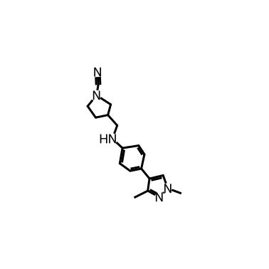 Cc1nn(C)cc1-c1ccc(NCC2CCN(C#N)C2)cc1